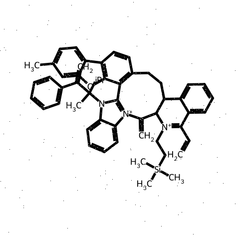 C=CC1=[N+](CC[Si](C)(C)C)C2C(=C)[n+]3c(n(C(C)(C(=C)c4ccccc4)C(C)C)c4ccccc43)-c3c(ccc4c3oc3cc(C)ccc34)CCC2c2ccccc21